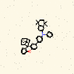 CC1(C)CCC(C)(C)c2cc(N(c3ccccc3)c3ccc(-c4ccc5c(c4)C4(c6ccccc6O5)C5CC6CC7CC4C75C6)cc3)ccc21